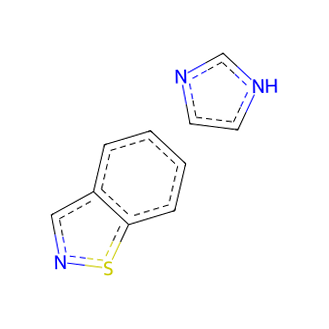 c1c[nH]cn1.c1ccc2sncc2c1